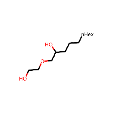 CCCCCCCCCC(O)COCCO